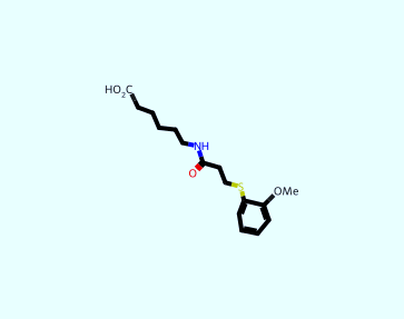 COc1ccccc1SCCC(=O)NCCCCCC(=O)O